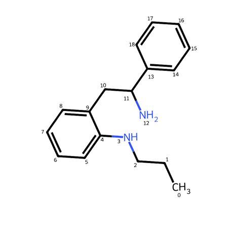 CCCNc1ccccc1CC(N)c1ccccc1